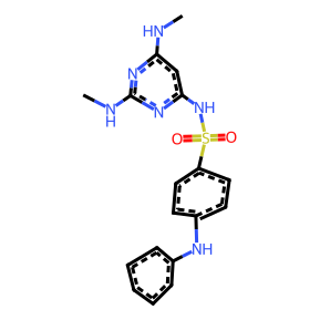 CNc1cc(NS(=O)(=O)c2ccc(Nc3ccccc3)cc2)nc(NC)n1